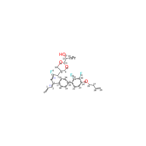 C=C/C=C(\C=C(\F)CC1COC(C(O)CCC)OC1)c1ccc(-c2ccc(OCCC=C)c(F)c2F)cc1